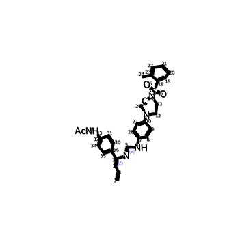 C=C/C=C(\N=C\Nc1ccc(N2CCN(S(=O)(=O)c3ccccc3C)CC2)cc1)c1ccc(NC(C)=O)cc1